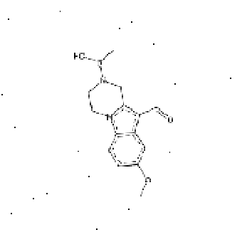 COc1ccc2c(c1)c(C=O)c1n2CCN(B(C)O)C1